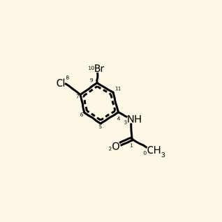 CC(=O)Nc1ccc(Cl)c(Br)c1